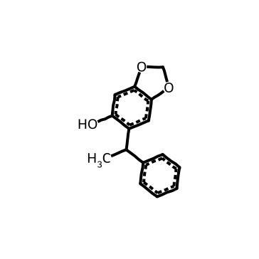 CC(c1ccccc1)c1cc2c(cc1O)OCO2